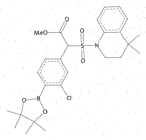 COC(=O)C(c1ccc(B2OC(C)(C)C(C)(C)O2)c(Cl)c1)S(=O)(=O)N1CCC(C)(C)c2ccccc21